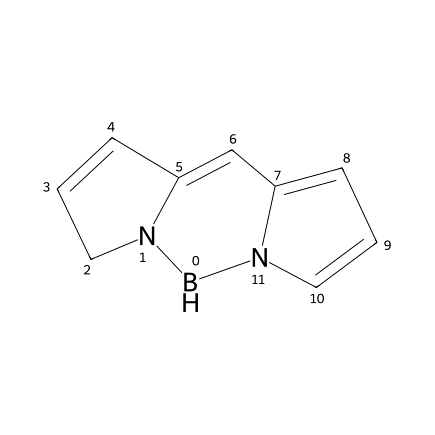 B1N2CC=CC2=Cc2cccn21